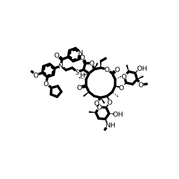 CC[C@H]1OC(=O)[C@H](C)[C@@H](O[C@H]2C[C@@](C)(OC)[C@@H](O)[C@H](C)O2)[C@H](C)[C@@H](O[C@@H]2O[C@H](C)C[C@H](NC)[C@H]2O)[C@](C)(OC)C[C@@H](C)C(=O)[C@H](C)[C@H]2C(SCCN(C(=O)c3ccncc3)c3ccc(OC)c(OC4CCCC4)c3)C(=O)O[C@@]21C